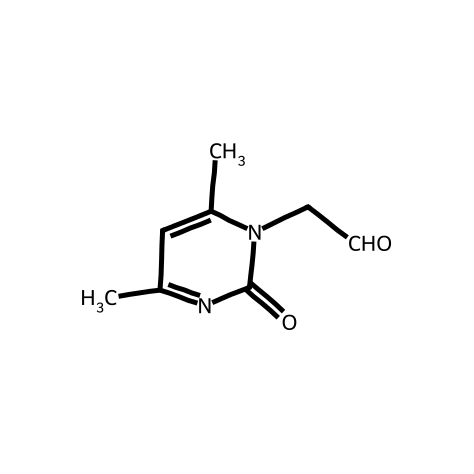 Cc1cc(C)n(CC=O)c(=O)n1